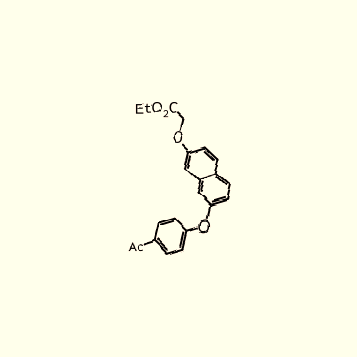 CCOC(=O)COc1ccc2ccc(Oc3ccc(C(C)=O)cc3)cc2c1